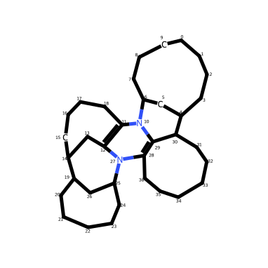 C1CCCC2CC(CCC1)N1C3=C4CC(CCCC3)C3CCCCCC(C3)N4C3=C1C2CCCCCC3